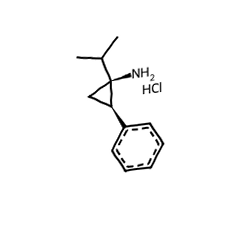 CC(C)[C@@]1(N)C[C@@H]1c1ccccc1.Cl